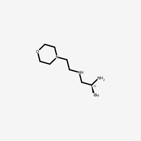 CCC(C)[C@H](N)CNCCN1CCOCC1